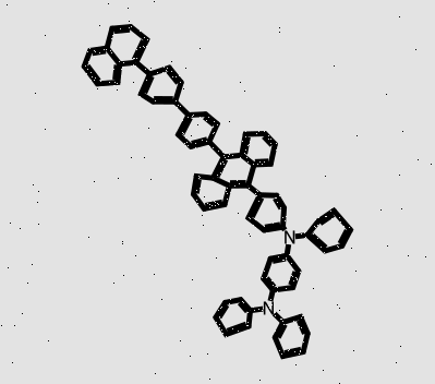 c1ccc(N(c2ccccc2)c2ccc(N(c3ccccc3)c3ccc(-c4c5ccccc5c(-c5ccc(-c6ccc(-c7cccc8ccccc78)cc6)cc5)c5ccccc45)cc3)cc2)cc1